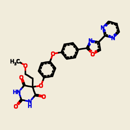 COCCC1(Oc2ccc(Oc3ccc(-c4nc(-c5ncccn5)co4)cc3)cc2)C(=O)NC(=O)NC1=O